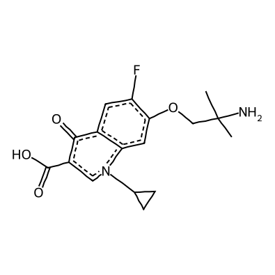 CC(C)(N)COc1cc2c(cc1F)c(=O)c(C(=O)O)cn2C1CC1